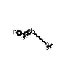 CCC(C)C(=O)OCCCCCCCCCOc1cc2oc(=O)c(-c3ccc(F)cc3)cc2cn1